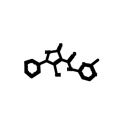 Cc1nccc(NC(=O)C2=C(O)C(c3ccccc3)NC2=O)n1